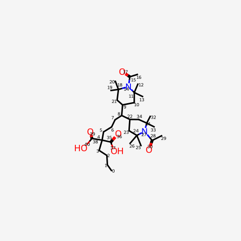 CCCCC(CCCC(C1CC(C)(C)N(C(C)=O)C(C)(C)C1)C1CC(C)(C)N(C(C)=O)C(C)(C)C1)(C(=O)O)C(=O)O